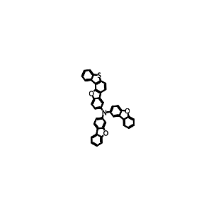 c1ccc2c(c1)oc1cc(N(c3ccc4oc5ccccc5c4c3)c3ccc4oc5c(ccc6sc7ccccc7c65)c4c3)ccc12